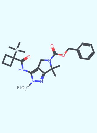 CCOC(=O)n1nc2c(c1NC(=O)C1([Si](C)(C)C)CCC1)CN(C(=O)OCc1ccccc1)C2(C)C